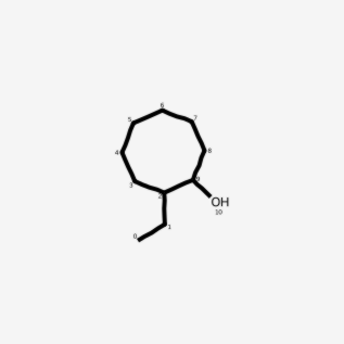 CCC1CCCCCCC1O